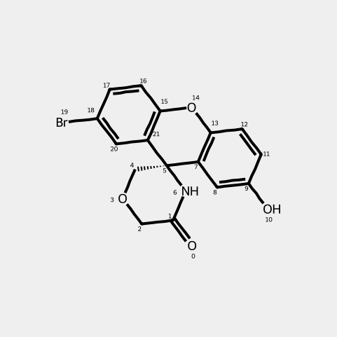 O=C1COC[C@@]2(N1)c1cc(O)ccc1Oc1ccc(Br)cc12